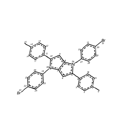 Cc1ccc(-c2cc3c(cc(-c4ccc(C)cc4)n3-c3ccc(Br)cc3)n2-c2ccc(Br)cc2)cc1